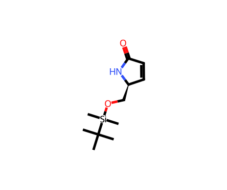 CC(C)(C)[Si](C)(C)OC[C@@H]1C=CC(=O)N1